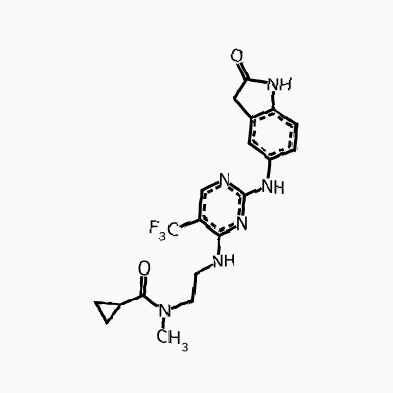 CN(CCNc1nc(Nc2ccc3c(c2)CC(=O)N3)ncc1C(F)(F)F)C(=O)C1CC1